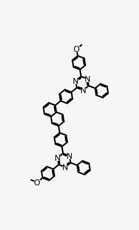 COc1ccc(-c2nc(-c3ccccc3)nc(-c3ccc(-c4ccc5c(-c6ccc(-c7nc(-c8ccccc8)nc(-c8ccc(OC)cc8)n7)cc6)cccc5c4)cc3)n2)cc1